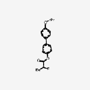 CCCOc1ccc(-c2ccc(OC(=O)C(F)C(C)CC)cc2)cc1